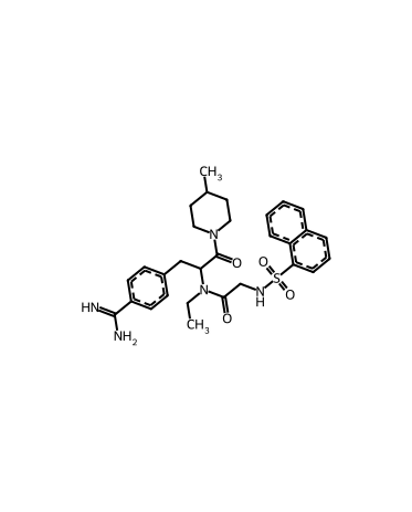 CCN(C(=O)CNS(=O)(=O)c1cccc2ccccc12)C(Cc1ccc(C(=N)N)cc1)C(=O)N1CCC(C)CC1